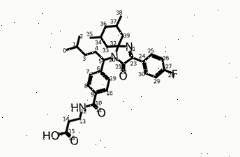 CC(C)CCC(c1ccc(C(=O)NCCC(=O)O)cc1)N1C(=O)C(c2ccc(F)cc2)=NC12CC(C)CC(C)C2